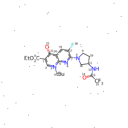 CCOC(=O)c1cn(C(C)(C)C)c2nc(N3CCC(NC(=O)C(F)(F)F)C3)c(F)cc2c1=O